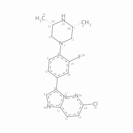 C[C@@H]1CN(c2ccc(-c3cnc4ccc(Cl)nn34)cc2F)C[C@H](C)N1